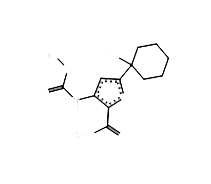 COC(=O)c1sc(C2(O)CCCCC2)cc1NC(=O)OC(C)(C)C